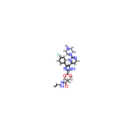 C=CCNC(=O)C1(C)COC(c2nc(-c3ccc(F)cc3)c(-c3ccnc(N4CCN(C)CC4)n3)[nH]2)OC1